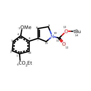 CCOC(=O)c1ccc(OC)c(C2=CCN(C(=O)OC(C)(C)C)C2)c1